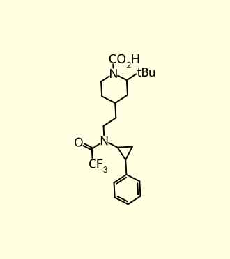 CC(C)(C)C1CC(CCN(C(=O)C(F)(F)F)C2CC2c2ccccc2)CCN1C(=O)O